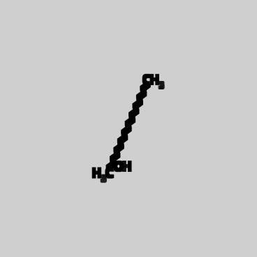 CCCCCCCCCCCCCCCCCCCC(O)CC